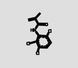 C=C(C)C(=O)Nc1c(Cl)ccc(Cl)c1Cl